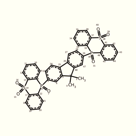 CC1(C)c2cc(P3(=O)c4ccccc4S(=O)(=O)c4ccccc43)ccc2-c2ccc(P3(=O)c4ccccc4S(=O)(=O)c4ccccc43)cc21